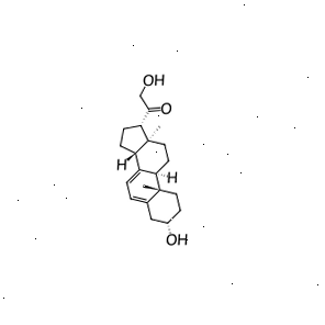 C[C@]12CC[C@@H]3C(=CC=C4C[C@@H](O)CC[C@]43C)[C@@H]1CC[C@@H]2C(=O)CO